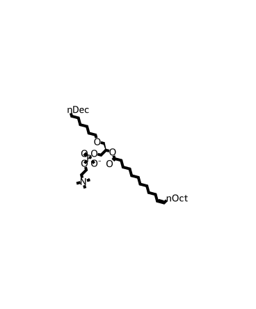 CCCCCCCC/C=C\CCCCCCCCCC(=O)O[C@H](COCCCCCCCCCCCCCCCC)COP(=O)([O-])OCC[N+](C)(C)C